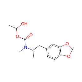 CC(O)OC(=O)N(C)C(C)Cc1ccc2c(c1)OCO2